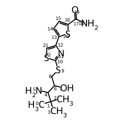 CC(C)(C)C(N)C(O)CSc1nc(-c2ccc(C(N)=O)s2)cs1